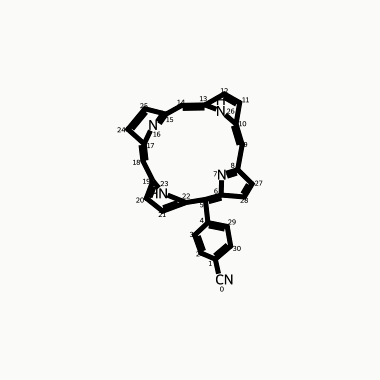 N#Cc1ccc(-c2c3nc(cc4ccc(cc5nc(cc6ccc2[nH]6)C=C5)[nH]4)C=C3)cc1